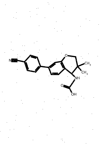 CC1(C)COc2cc(-c3ccc(C#N)cc3)ccc2C1NC(=O)O